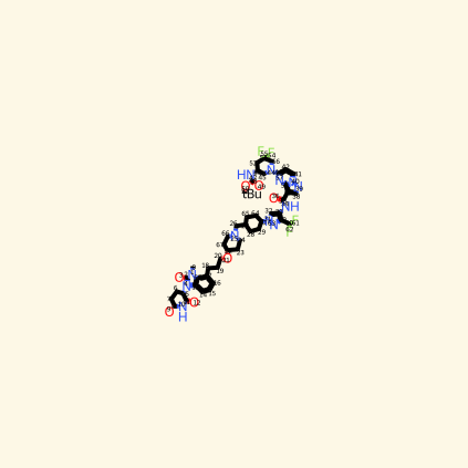 Cn1c(=O)n(C2CCC(=O)NC2=O)c2cccc(CCCOC3CCN(CC4CCC(n5cc(NC(=O)c6cnn7ccc(N8C[C@H](NC(=O)OC(C)(C)C)CC(F)(F)C8)nc67)c(C(F)F)n5)CC4)CC3)c21